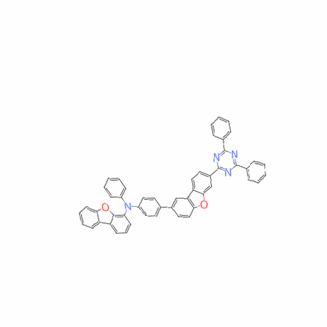 c1ccc(-c2nc(-c3ccccc3)nc(-c3ccc4c(c3)oc3ccc(-c5ccc(N(c6ccccc6)c6cccc7c6oc6ccccc67)cc5)cc34)n2)cc1